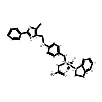 Cc1oc(-c2ccccc2)nc1COc1ccc(CN(CC(=O)O)S(=O)(=O)N2CCc3ccccc32)cc1